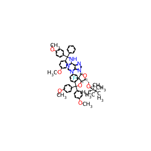 COc1ccc(C(Nc2ncnc3c2ncn3[C@@H]2O[C@H](CO[Si](C)(C)C(C)(C)C)[C@@H](OC(c3ccccc3)(c3ccc(OC)cc3)c3ccc(OC)cc3)[C@H]2F)(c2ccccc2)c2ccc(OC)cc2)cc1